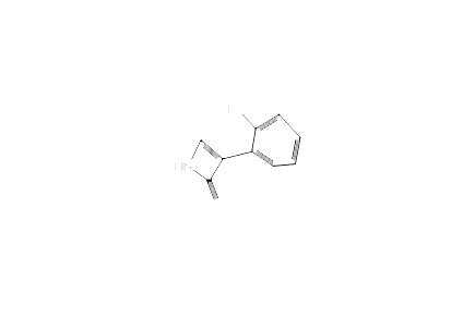 O=C1NC=C1c1ccccc1Br